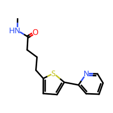 CNC(=O)CCCc1ccc(-c2ccccn2)s1